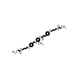 C=CC(=O)OCCCCOc1ccc(/C=C/C(=O)Oc2ccc(/N=C/c3ccc(OCCCCOC(=O)C=C)cc3)c(C)c2)cc1